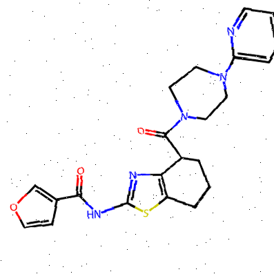 O=C(Nc1nc2c(s1)CCCC2C(=O)N1CCN(c2ccccn2)CC1)c1ccoc1